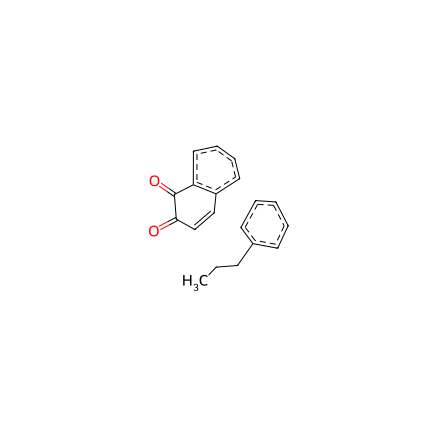 CCCc1ccccc1.O=C1C=Cc2ccccc2C1=O